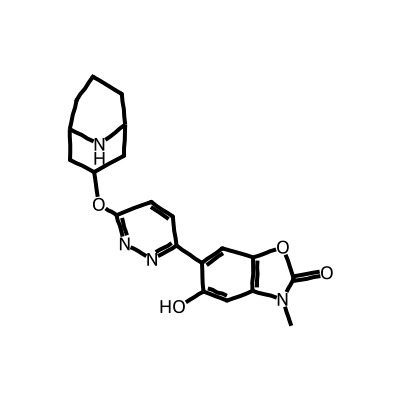 Cn1c(=O)oc2cc(-c3ccc(OC4CC5CCCC(C4)N5)nn3)c(O)cc21